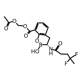 CC(=O)OCOC(=O)c1cccc2c1OB(O)[C@@H](NC(=O)CCC(C)(F)F)C2